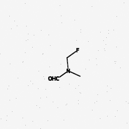 CN(C=O)CF